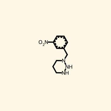 O=[N+]([O-])c1cccc(CN2CCCNN2)c1